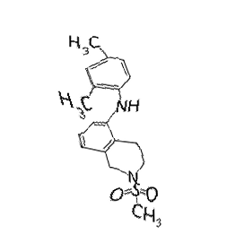 Cc1ccc(Nc2cccc3c2CCN(S(C)(=O)=O)C3)c(C)c1